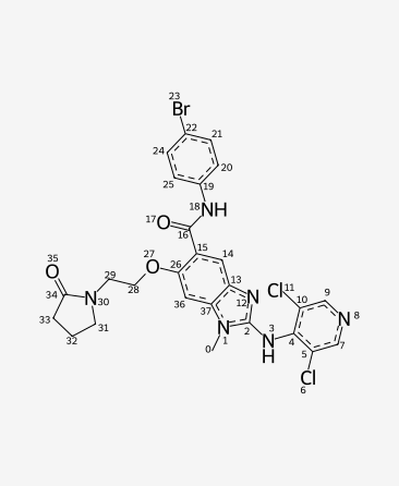 Cn1c(Nc2c(Cl)cncc2Cl)nc2cc(C(=O)Nc3ccc(Br)cc3)c(OCCN3CCCC3=O)cc21